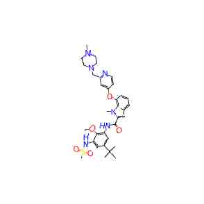 COc1c(NC(=O)c2cc3cccc(Oc4ccnc(CN5CCN(C)CC5)c4)c3n2C)cc(C(C)(C)C)cc1NS(C)(=O)=O